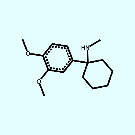 CNC1(c2ccc(OC)c(OC)c2)CCCCC1